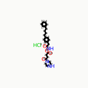 Cl.O=C(Cc1ccc(CCCCc2ccccc2)cc1)NOC(=O)CCC(=O)N1CCNCC1